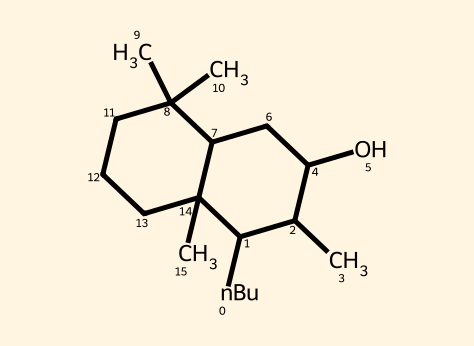 CCCCC1C(C)C(O)CC2C(C)(C)CCCC12C